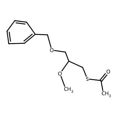 COC(COCc1ccccc1)CSC(C)=O